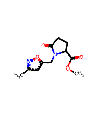 COC(=O)C1CCC(=O)N1Cc1cc(C)no1